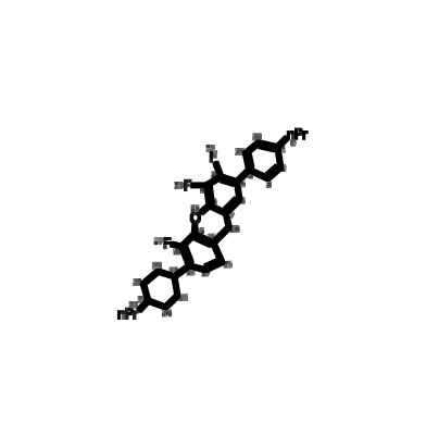 CCCc1ccc(-c2cc3c(c(F)c2F)Oc2c(ccc(C4CCC(CCC)CC4)c2F)C3)cc1